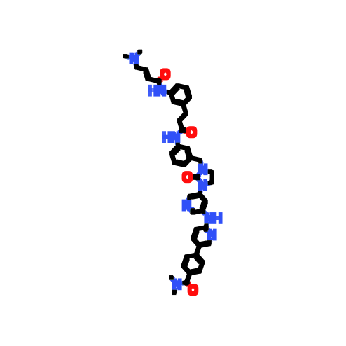 CN(C)CC=CC(=O)Nc1cccc(CCC(=O)Nc2cccc(CN3CCN(c4cncc(Nc5ccc(-c6ccc(C(=O)N(C)C)cc6)cn5)c4)C3=O)c2)c1